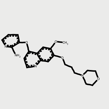 COc1cc2c(Oc3cccnc3N)ccnc2cc1OCCCN1CCOCC1